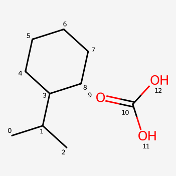 CC(C)C1CCCCC1.O=C(O)O